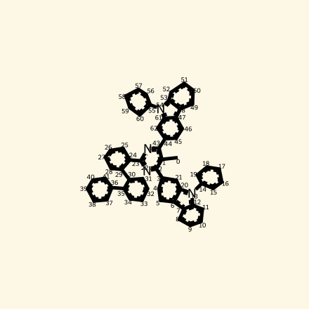 Cc1c(-c2ccc3c4ccccc4n(-c4ccccc4)c3c2)nc(-c2ccccc2-c2ccccc2-c2ccccc2)nc1-c1ccc2c3ccccc3n(-c3ccccc3)c2c1